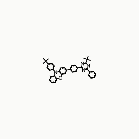 CC(C)(C)c1ccc(N2c3ccccc3Oc3cc(-c4ccc(-c5nc(-c6ccccc6)nc(C(C)(C)C)n5)cc4)ccc32)cc1